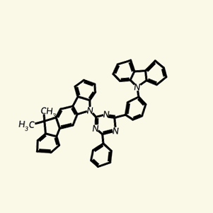 CC1(C)c2ccccc2-c2cc3c(cc21)c1ccccc1n3-c1nc(-c2ccccc2)nc(-c2cccc(-n3c4ccccc4c4ccccc43)c2)n1